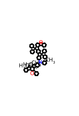 Cc1cccc(N(c2ccc3c(c2)C(C)(C)c2c4c(c5oc6ccccc6c5c2-3)-c2ccccc2C4(C)C)c2ccc3c(c2)C(c2ccccc2)(c2ccccc2)c2cc4c(cc2-3)C(c2ccccc2)(c2ccccc2)c2ccc3oc5ccccc5c3c2-4)c1